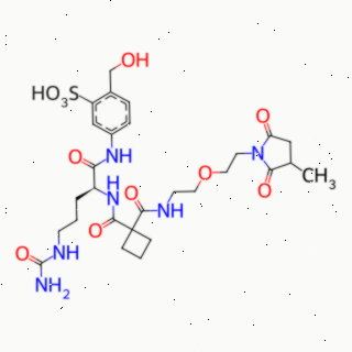 CC1CC(=O)N(CCOCCNC(=O)C2(C(=O)N[C@@H](CCCNC(N)=O)C(=O)Nc3ccc(CO)c(S(=O)(=O)O)c3)CCC2)C1=O